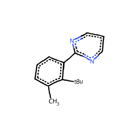 Cc1cccc(-c2ncccn2)c1C(C)(C)C